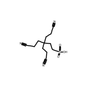 N#CCCC(CCC#N)(CCC#N)CCS(=O)(=O)O